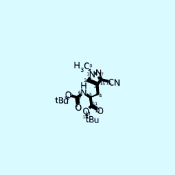 Cn1cc(C[C@H](NC(=O)OC(C)(C)C)C(=O)OC(C)(C)C)c(C#N)n1